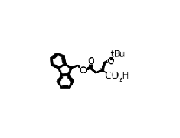 CC(C)(C)OC[C@H](CC(=O)OCC1c2ccccc2-c2ccccc21)C(=O)O